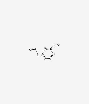 O=Cc1cccc(CCCl)c1